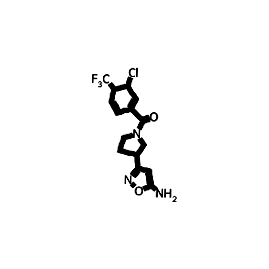 Nc1cc(C2CCN(C(=O)C3=CC(Cl)C(C(F)(F)F)C=C3)C2)no1